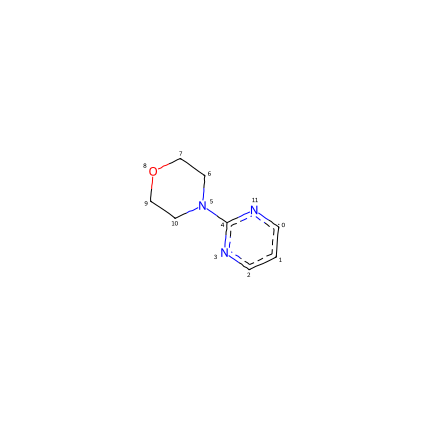 [c]1ccnc(N2CCOCC2)n1